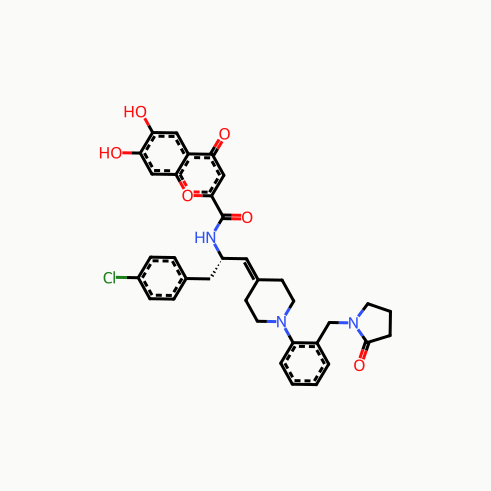 O=C(N[C@H](C=C1CCN(c2ccccc2CN2CCCC2=O)CC1)Cc1ccc(Cl)cc1)c1cc(=O)c2cc(O)c(O)cc2o1